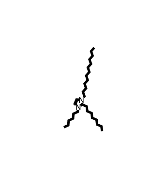 CCCCCCCCCCCCCN1C=CN(CCCCCC)C1CCCCCCCC